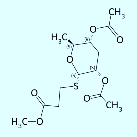 COC(=O)CCS[C@@H]1O[C@@H](C)[C@H](OC(C)=O)C[C@@H]1OC(C)=O